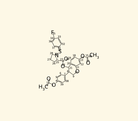 CC(=O)Oc1ccc(C2COc3cc(OC(C)=O)ccc3C2OC(=O)C2CCCN2Sc2ccc(F)cc2)cc1